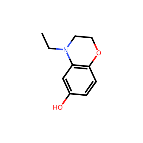 CCN1CCOc2ccc(O)cc21